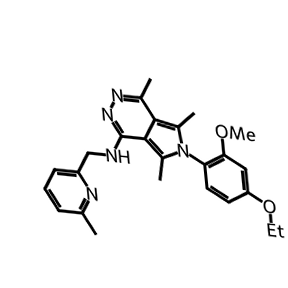 CCOc1ccc(-n2c(C)c3c(C)nnc(NCc4cccc(C)n4)c3c2C)c(OC)c1